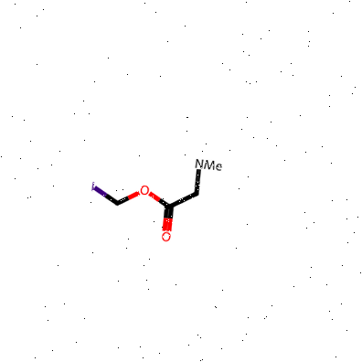 CNCC(=O)OCI